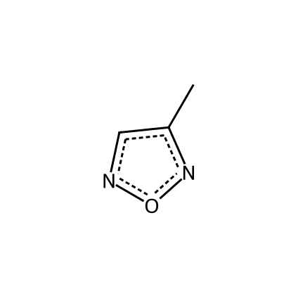 Cc1cnon1